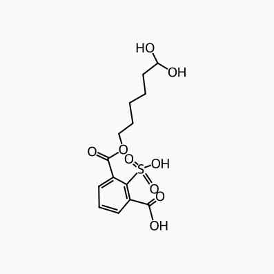 O=C(O)c1cccc(C(=O)OCCCCCC(O)O)c1S(=O)(=O)O